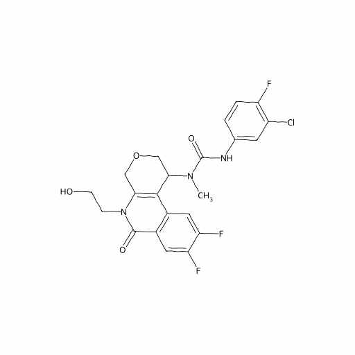 CN(C(=O)Nc1ccc(F)c(Cl)c1)C1COCc2c1c1cc(F)c(F)cc1c(=O)n2CCO